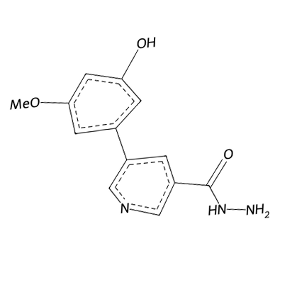 COc1cc(O)cc(-c2cncc(C(=O)NN)c2)c1